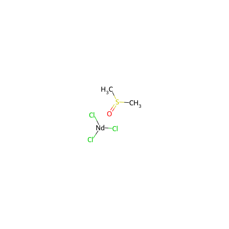 CS(C)=O.[Cl][Nd]([Cl])[Cl]